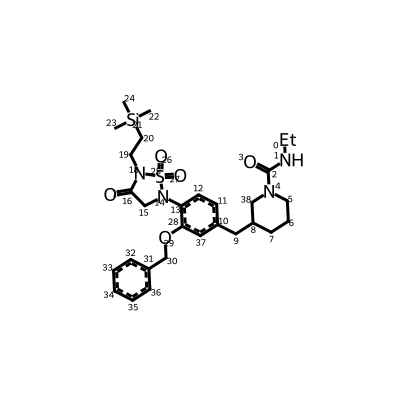 CCNC(=O)N1CCCC(Cc2ccc(N3CC(=O)N(CC[Si](C)(C)C)S3(=O)=O)c(OCc3ccccc3)c2)C1